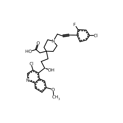 COc1ccc2ncc(Cl)c([C@H](O)CCC3(CC(=O)O)CCN(CC#Cc4ccc(Cl)cc4F)CC3)c2c1